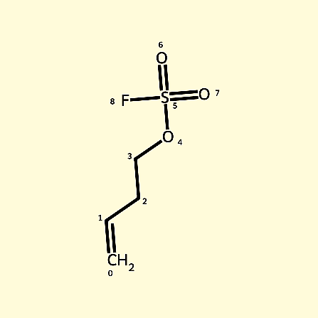 C=CCCOS(=O)(=O)F